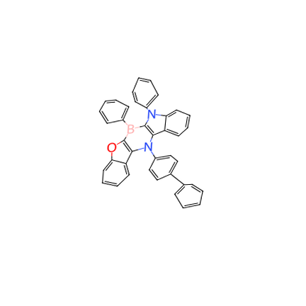 c1ccc(B2c3oc4ccccc4c3N(c3ccc(-c4ccccc4)cc3)c3c2n(-c2ccccc2)c2ccccc32)cc1